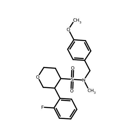 COc1ccc(CN(C)S(=O)(=O)C2CCOCC2c2ccccc2F)cc1